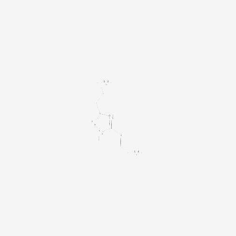 COCCc1n[nH]c(CCOC)n1